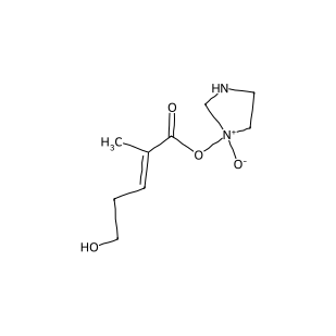 CC(=CCCO)C(=O)O[N+]1([O-])CCNC1